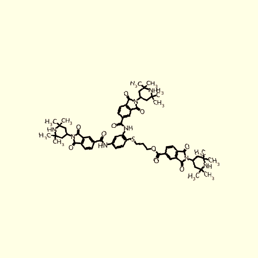 CC1(C)CC(N2C(=O)c3ccc(C(=O)Nc4ccc(SCCCOC(=O)c5ccc6c(c5)C(=O)N(C5CC(C)(C)NC(C)(C)C5)C6=O)c(NC(=O)c5ccc6c(c5)C(=O)N(C5CC(C)(C)NC(C)(C)C5)C6=O)c4)cc3C2=O)CC(C)(C)N1